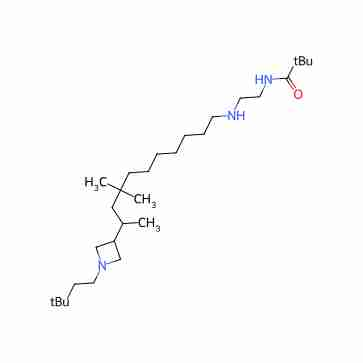 CC(CC(C)(C)CCCCCCCNCCNC(=O)C(C)(C)C)C1CN(CCC(C)(C)C)C1